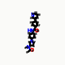 CC(=O)N(C)C1CCN(c2ccc(NC(=O)c3ccc(-c4cccnc4)cc3)cc2)C1